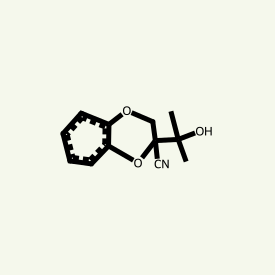 CC(C)(O)C1(C#N)COc2ccccc2O1